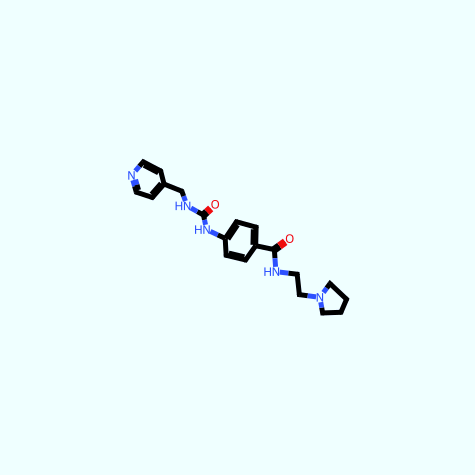 O=C(NCc1ccncc1)Nc1ccc(C(=O)NCCN2CCCC2)cc1